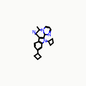 CC(C)N1C=CC=NC1c1c(C#N)c2ccc(C3CCC3)cc2n1C1CCC1